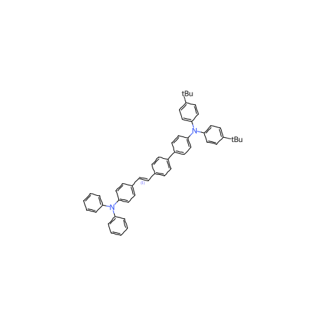 CC(C)(C)c1ccc(N(c2ccc(-c3ccc(/C=C/c4ccc(N(c5ccccc5)c5ccccc5)cc4)cc3)cc2)c2ccc(C(C)(C)C)cc2)cc1